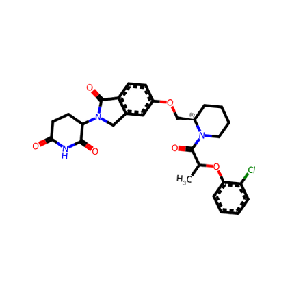 CC(Oc1ccccc1Cl)C(=O)N1CCCC[C@@H]1COc1ccc2c(c1)CN(C1CCC(=O)NC1=O)C2=O